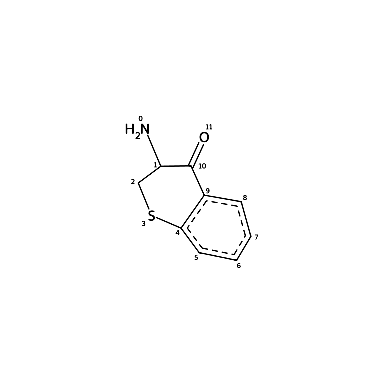 NC1CSc2ccccc2C1=O